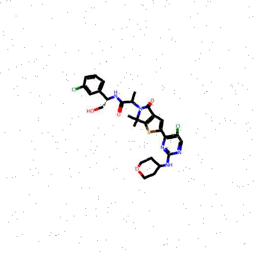 CC(C(=O)N[C@H](CO)c1cccc(Cl)c1)N1C(=O)c2cc(-c3nc(NC4CCOCC4)ncc3Cl)sc2C1(C)C